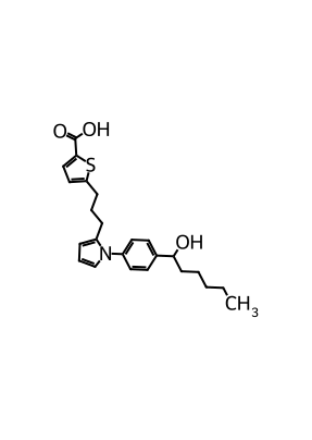 CCCCCC(O)c1ccc(-n2cccc2CCCc2ccc(C(=O)O)s2)cc1